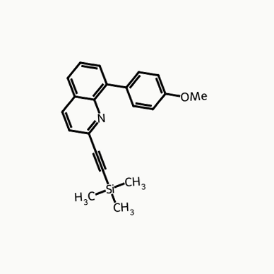 COc1ccc(-c2cccc3ccc(C#C[Si](C)(C)C)nc23)cc1